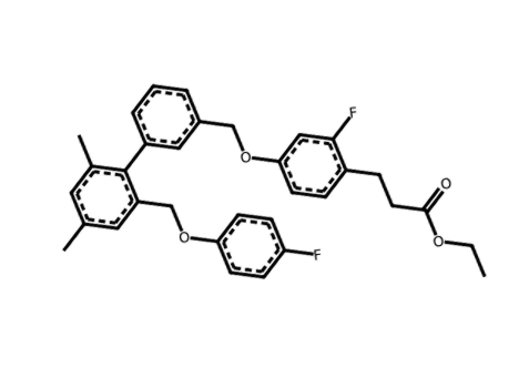 CCOC(=O)CCc1ccc(OCc2cccc(-c3c(C)cc(C)cc3COc3ccc(F)cc3)c2)cc1F